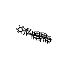 CC(C)(c1ccccc1)[N+](F)(F)CCC(F)(F)C(F)(F)C(F)(F)C(F)(F)C(F)(F)C(F)(F)C(F)(F)C(F)(F)F